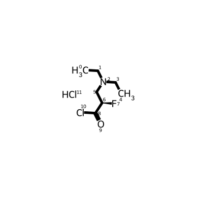 CCN(CC)C[C@@H](F)C(=O)Cl.Cl